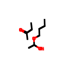 CCC(C)=O.CCCCOC(C)O